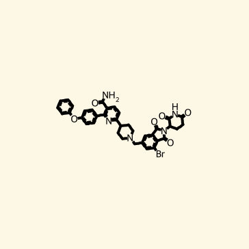 NC(=O)c1ccc(C2CCN(Cc3cc(Br)c4c(c3)C(=O)N(C3CCC(=O)NC3=O)C4=O)CC2)nc1-c1ccc(Oc2ccccc2)cc1